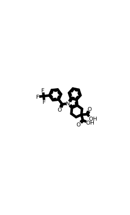 O=C(c1cccc(C(F)(F)F)c1)n1c2c(c3ccccc31)CC(C(=O)O)(C(=O)O)CC2